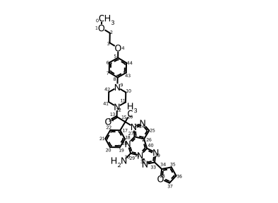 COCCOc1ccc(N2CCN(C(=O)C(C)(c3ccccc3)n3ncc4c3nc(N)n3nc(-c5ccco5)nc43)CC2)cc1